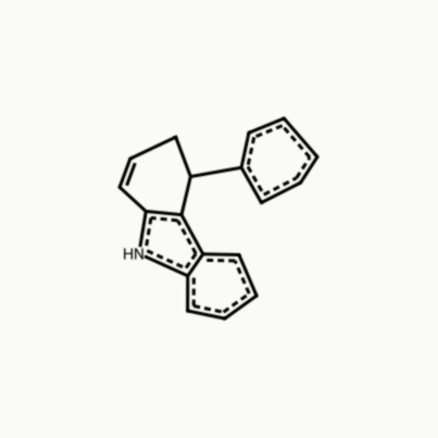 C1=Cc2[nH]c3ccccc3c2C(c2ccccc2)C1